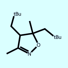 CC1=NOC(C)(CC(C)(C)C)C1CC(C)(C)C